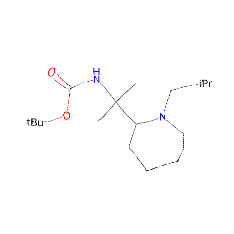 CC(C)CN1CCCCC1C(C)(C)NC(=O)OC(C)(C)C